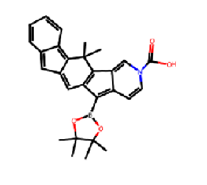 CC1(C)C2=c3ccccc3=CC2=Cc2c(B3OC(C)(C)C(C)(C)O3)c3ccn(C(=O)O)cc-3c21